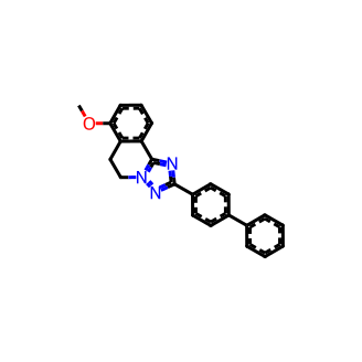 COc1cccc2c1CCn1nc(-c3ccc(-c4ccccc4)cc3)nc1-2